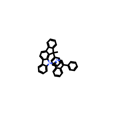 CC1(c2ccccc2)c2ccccc2-c2ccc3c4ccccc4n(-c4ncc(-c5ccccc5)c5ccccc45)c3c21